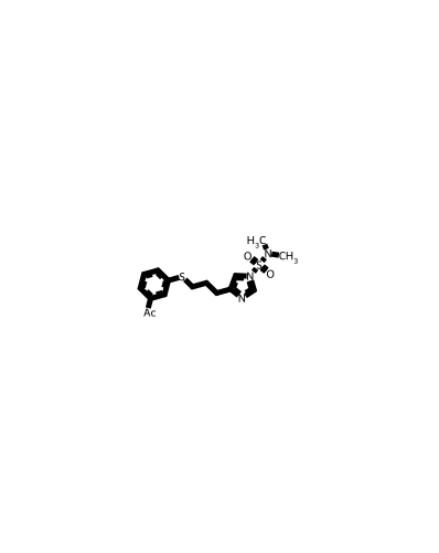 CC(=O)c1cccc(SCCCc2cn(S(=O)(=O)N(C)C)cn2)c1